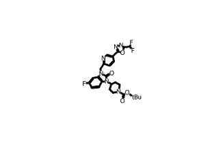 CC(C)(C)OC(=O)N1CCC(n2c(=O)n(Cc3ccc(-c4nnc(C(F)F)o4)cn3)c3cc(F)ccc32)CC1